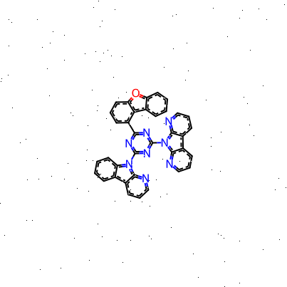 c1ccc2c(c1)oc1cccc(-c3nc(-n4c5ccccc5c5cccnc54)nc(-n4c5ncccc5c5cccnc54)n3)c12